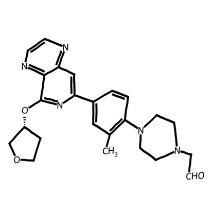 Cc1cc(-c2cc3nccnc3c(O[C@@H]3CCOC3)n2)ccc1N1CCN(CC=O)CC1